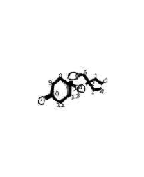 CCC1(CC)COC2(CCC(=O)CC2)O1